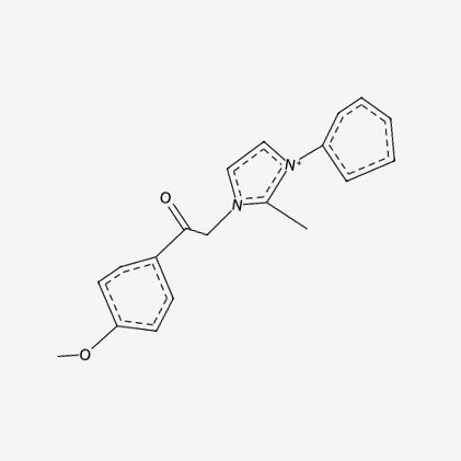 COc1ccc(C(=O)Cn2cc[n+](-c3ccccc3)c2C)cc1